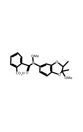 CON(C(=O)c1ccccc1C(=O)O)c1ccc2c(c1)OC(C)C(C)(OC)O2